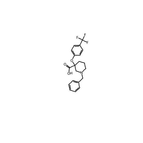 O=C(O)C1(Oc2ccc(C(F)(F)F)cc2)CCCN(Cc2ccccc2)C1